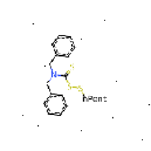 CCCCCSSC(=S)N(Cc1ccccc1)Cc1ccccc1